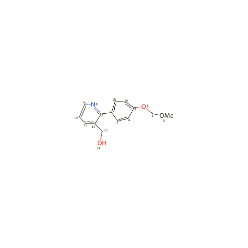 COCOc1ccc(-c2ncccc2CO)cc1